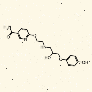 NC(=O)c1ccc(OCCNCC(O)COc2ccc(O)cc2)nc1